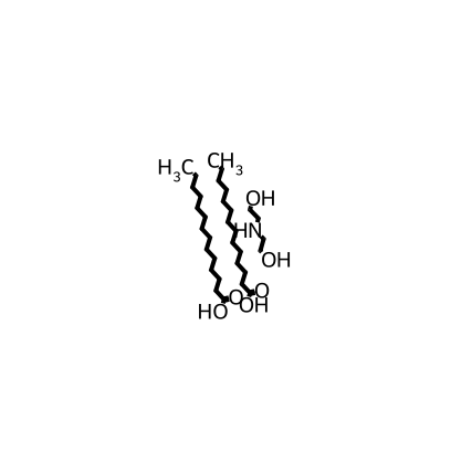 CCCCCCCCCCCCCC(=O)O.CCCCCCCCCCCCCC(=O)O.OCCNCCO